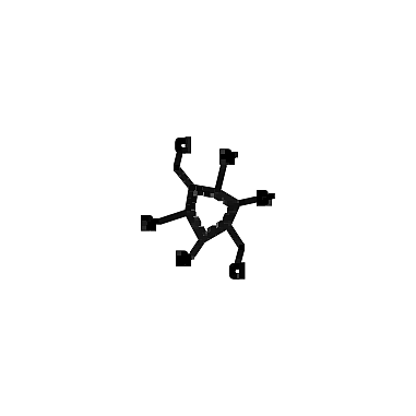 ClCc1c(Br)c(Br)c(CCl)c(Br)c1Br